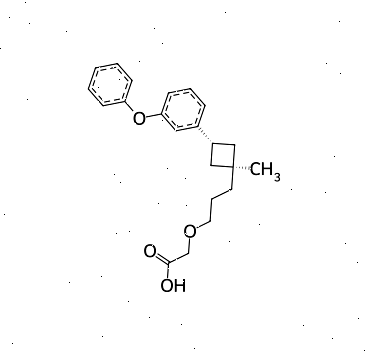 C[C@]1(CCCOCC(=O)O)C[C@H](c2cccc(Oc3ccccc3)c2)C1